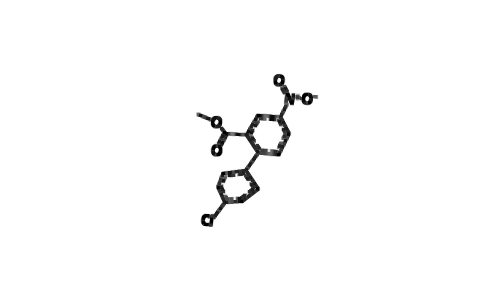 COC(=O)c1cc([N+](=O)[O-])ccc1-c1ccc(Cl)cc1